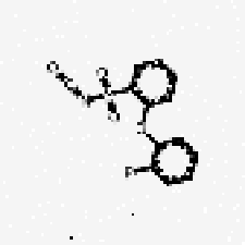 O=C=NS(=O)(=O)c1ccccc1Oc1ccccc1F